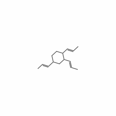 CC=CC1CCC(C=CC)C(C=CC)C1